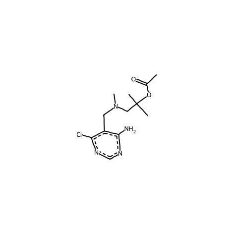 CC(=O)OC(C)(C)CN(C)Cc1c(N)ncnc1Cl